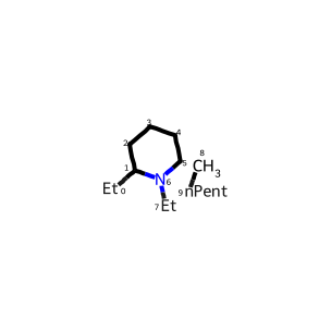 CCC1CCCCN1CC.CCCCCC